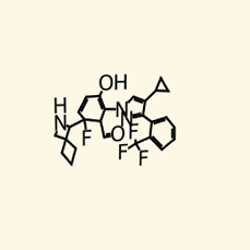 O=CC1C(n2cc(C3CC3)c(-c3ccccc3C(F)(F)F)n2)=C(O)C=CC1(F)C1NCC12CCC2